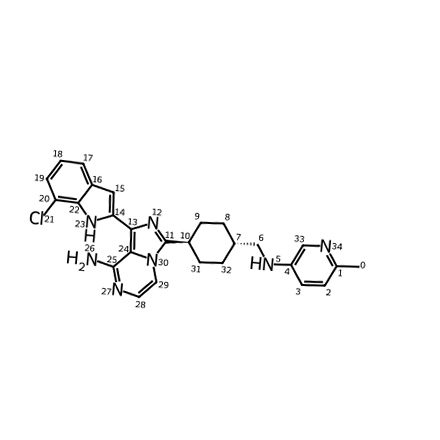 Cc1ccc(NC[C@H]2CC[C@H](c3nc(-c4cc5cccc(Cl)c5[nH]4)c4c(N)nccn43)CC2)cn1